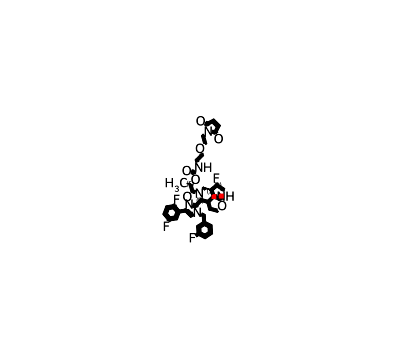 C[C@H](OC(=O)NCCOCCN1C(=O)C=CC1=O)C(=O)N(C[C@@H]1CNC[C@@H]1F)[C@@H](c1nc(-c2cc(F)ccc2F)cn1Cc1cccc(F)c1)C1CCOCC1